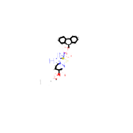 CCOC(=O)c1ccc(NC(=S)NC(=O)OCC2c3ccccc3-c3ccccc32)nc1